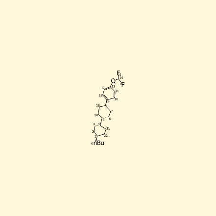 CCCC[C@H]1CC[C@H]([C@H]2CC[C@H](c3ccc(OC(F)F)cc3)CC2)CC1